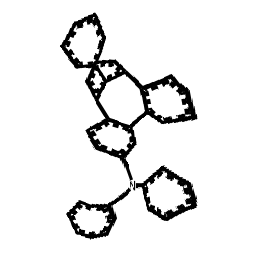 c1ccc(-c2c3cccc2-c2ccc(N(c4ccccc4)c4ccccc4)cc2-c2ccccc2-3)cc1